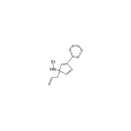 C=CCS1(NCC)C=CC(c2ccccc2)=C1